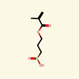 C=C(C)C(=O)OCCCS(=O)O